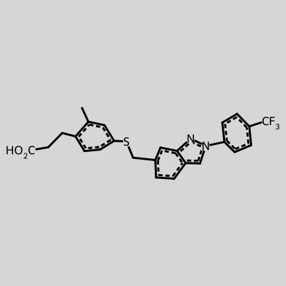 Cc1cc(SCc2ccc3cn(-c4ccc(C(F)(F)F)cc4)nc3c2)ccc1CCC(=O)O